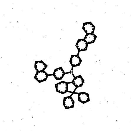 c1ccc(C2(c3ccccc3)c3ccccc3-c3c(N(c4ccc(-c5ccc6c(ccc7ccccc76)c5)cc4)c4ccc(-c5cccc6ccccc56)cc4)cccc32)cc1